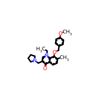 CCn1cc(CN2CCCC2)c(=O)c2ccc(C)c(OCc3ccc(OC)cc3)c21